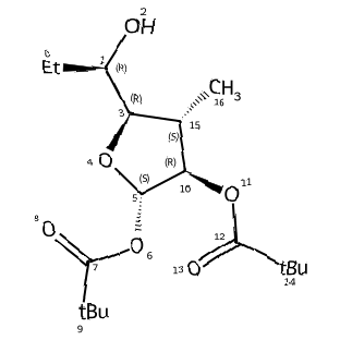 CC[C@@H](O)[C@@H]1O[C@@H](OC(=O)C(C)(C)C)[C@H](OC(=O)C(C)(C)C)[C@H]1C